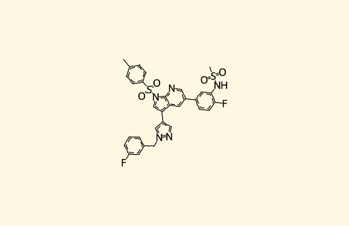 Cc1ccc(S(=O)(=O)n2cc(-c3cnn(Cc4cccc(F)c4)c3)c3cc(-c4ccc(F)c(NS(C)(=O)=O)c4)cnc32)cc1